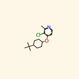 Cc1nccc(OC2CCC(C(C)(C)C)CC2)c1Cl